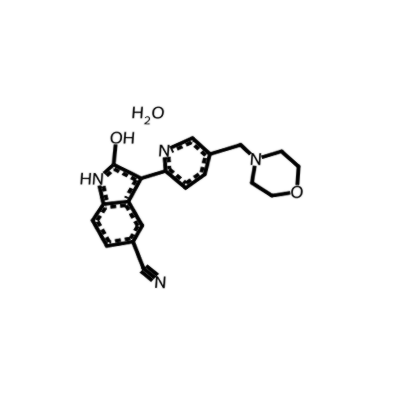 N#Cc1ccc2[nH]c(O)c(-c3ccc(CN4CCOCC4)cn3)c2c1.O